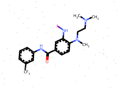 CN(C)CCN(C)c1ccc(C(=O)Nc2cccc(C(F)(F)F)c2)cc1NI